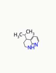 CC(C)C1CCNc2ncccc21